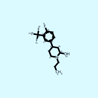 CCCN1CCC(c2ccc(F)c(C(F)(F)F)c2)CC1O